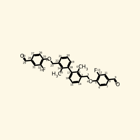 Cc1c(COc2ccc(C=O)cc2F)cccc1-c1cccc(COc2ccc(C=O)cc2F)c1C